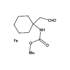 CC(C)(C)OC(=O)NC1(CC=O)CCCCC1.[Fe]